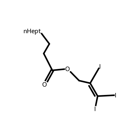 CCCCCCCCCC(=O)OCC(I)=C(I)I